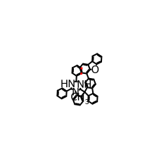 CN1C(c2ccccc2)NC(c2ccccc2)NC1C1(c2ccccc2)c2ccccc2-c2ccc(-c3cccc4c3oc3ccccc34)cc21